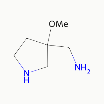 COC1(CN)CCNC1